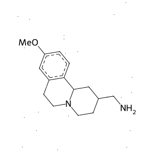 COc1ccc2c(c1)CCN1CCC(CN)CC21